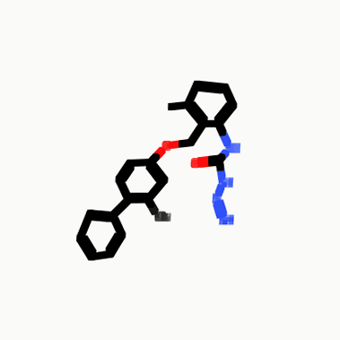 Cc1cccc(NC(=O)NN=N)c1COc1ccc(-c2ccccc2)c(C(C)(C)C)c1